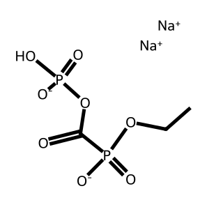 CCOP(=O)([O-])C(=O)OP(=O)([O-])O.[Na+].[Na+]